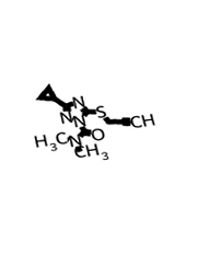 C#CCSc1nc(C2CC2)nn1C(=O)N(C)C